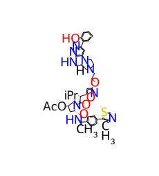 CC(=O)O[C@@H]1C[C@@H](C(=O)N[C@@H](C)c2ccc(-c3scnc3C)cc2)N(C(=O)[C@@H](c2cc(OCCN3CCN4c5cc(-c6ccccc6O)nnc5NC[C@H]4C3)no2)C(C)C)C1